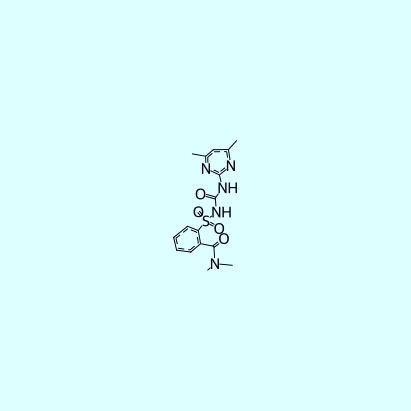 Cc1cc(C)nc(NC(=O)NS(=O)(=O)c2ccccc2C(=O)N(C)C)n1